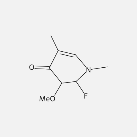 COC1C(=O)C(C)=CN(C)C1F